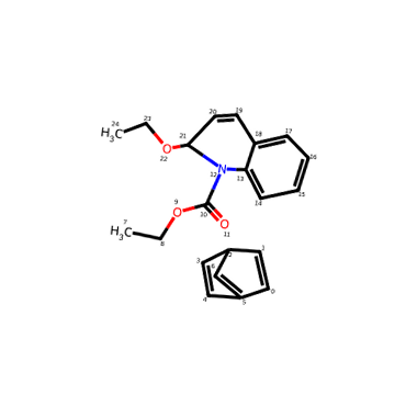 C1=CC2C=CC1=C2.CCOC(=O)N1c2ccccc2C=CC1OCC